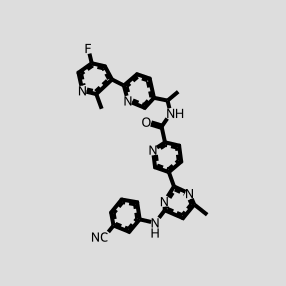 Cc1cc(Nc2cccc(C#N)c2)nc(-c2ccc(C(=O)NC(C)c3ccc(-c4cc(F)cnc4C)nc3)nc2)n1